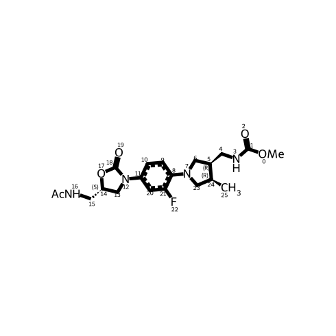 COC(=O)NC[C@@H]1CN(c2ccc(N3C[C@H](CNC(C)=O)OC3=O)cc2F)C[C@@H]1C